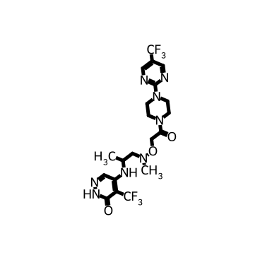 CC(CN(C)OCC(=O)N1CCN(c2ncc(C(F)(F)F)cn2)CC1)Nc1cn[nH]c(=O)c1C(F)(F)F